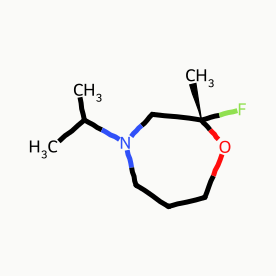 CC(C)N1CCCO[C@@](C)(F)C1